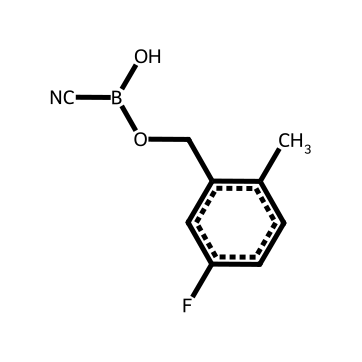 Cc1ccc(F)cc1COB(O)C#N